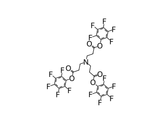 O=C(CCN(CCC(=O)Oc1c(F)c(F)c(F)c(F)c1F)CCC(=O)Oc1c(F)c(F)c(F)c(F)c1F)Oc1c(F)c(F)c(F)c(F)c1F